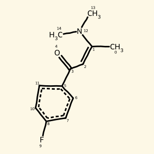 C/C(=C/C(=O)c1ccc(F)cc1)N(C)C